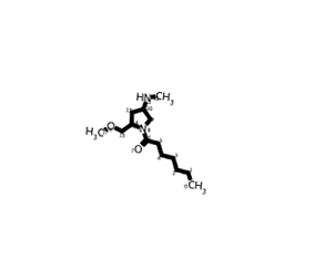 CCCCCCC(=O)N1CC(NC)CC1COC